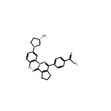 NC(=O)c1ccc(-c2nn(-c3cc(N4CC[C@H](O)C4)ccc3C(F)(F)F)c(=O)c3c2CCC3)cc1